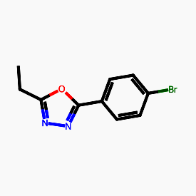 CCc1nnc(-c2ccc(Br)cc2)o1